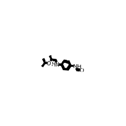 CC(C)OC(C)CNc1ccc(NC=O)cc1